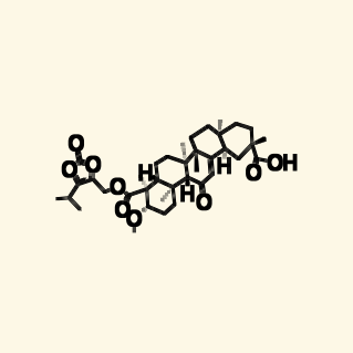 CO[C@H]1CC[C@@]2(C)[C@@H](CC[C@]3(C)[C@@H]2C(=O)C=C2[C@@H]4C[C@@](C)(C(=O)O)CC[C@]4(C)CC[C@]23C)[C@]1(C)C(=O)OCc1oc(=O)oc1C(C)C